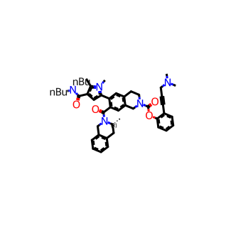 CCCCN(CCCC)C(=O)c1cc(-c2cc3c(cc2C(=O)N2Cc4ccccc4C[C@H]2C)CN(C(=O)Oc2ccccc2C#CCN(C)C)CC3)n(C)c1C